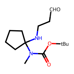 CN(C(=O)OC(C)(C)C)C1(NCCC=O)CCCC1